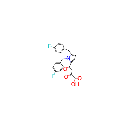 O=C(O)C(=O)CC(=O)c1ccc(Cc2ccc(F)cc2)n1Cc1ccc(F)cc1